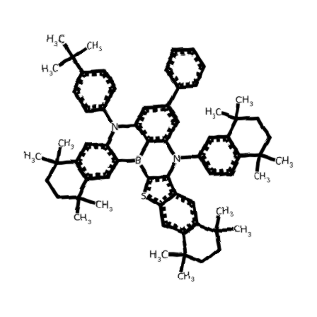 CC(C)(C)c1ccc(N2c3cc4c(cc3B3c5sc6cc7c(cc6c5N(c5ccc6c(c5)C(C)(C)CCC6(C)C)c5cc(-c6ccccc6)cc2c53)C(C)(C)CCC7(C)C)C(C)(C)CCC4(C)C)cc1